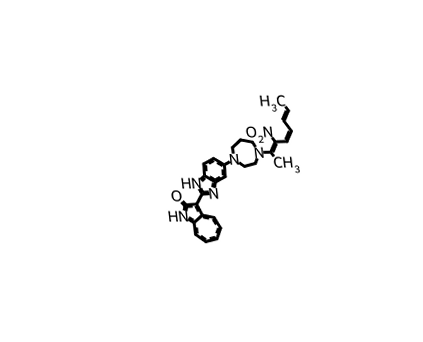 CC=C/C=C\C(=C(/C)N1CCCN(c2ccc3[nH]c(-c4c5cccccc-5[nH]c4=O)nc3c2)CC1)[N+](=O)[O-]